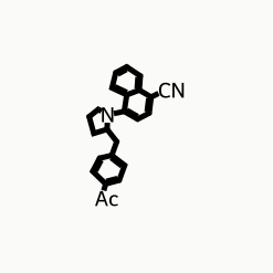 CC(=O)c1ccc(CC2CCCN2c2ccc(C#N)c3ccccc23)cc1